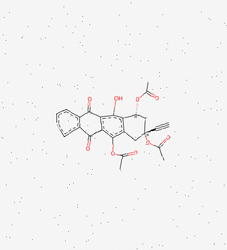 C#C[C@@]1(OC(C)=O)Cc2c(OC(C)=O)c3c(c(O)c2[C@H](OC(C)=O)C1)C(=O)c1ccccc1C3=O